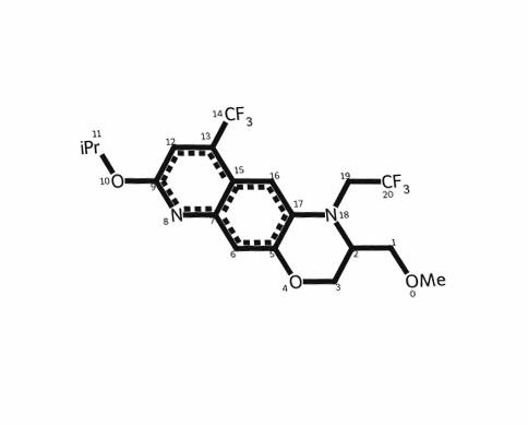 COCC1COc2cc3nc(OC(C)C)cc(C(F)(F)F)c3cc2N1CC(F)(F)F